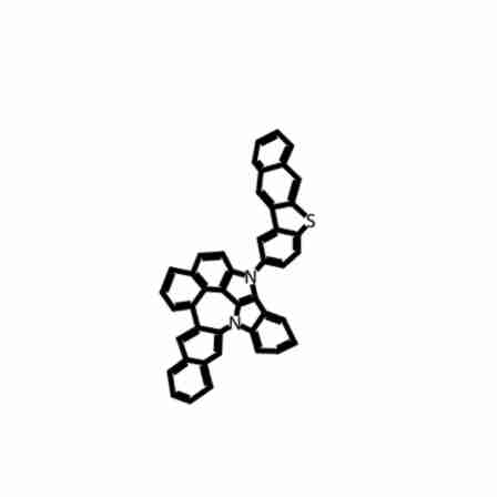 c1ccc2cc3c(cc2c1)sc1ccc(-n2c4ccc5cccc6c7cc8ccccc8cc7n7c8ccccc8c2c7c4c56)cc13